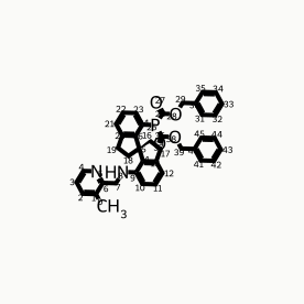 Cc1cccnc1CNc1cccc2c1[C@]1(CC2)CCc2cccc(P(C(=O)OCc3ccccc3)C(=O)OCc3ccccc3)c21